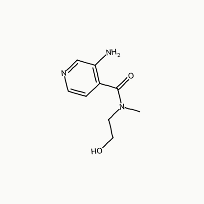 CN(CCO)C(=O)c1ccncc1N